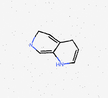 C1=CNC2=C[N]CC=C2C1